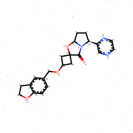 O=C1N2C(CC[C@H]2c2cnccn2)OC12CC(OCc1ccc3c(c1)CCO3)C2